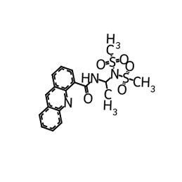 CC(NC(=O)c1cccc2cc3ccccc3nc12)N(S(C)(=O)=O)S(C)(=O)=O